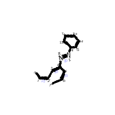 C\C=C/C=C(\C=C/C)/N=N/c1ccccc1